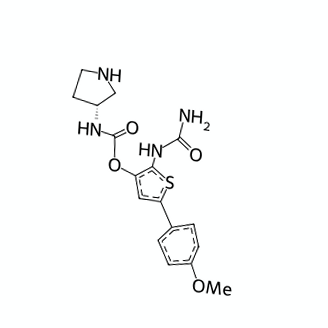 COc1ccc(-c2cc(OC(=O)N[C@@H]3CCNC3)c(NC(N)=O)s2)cc1